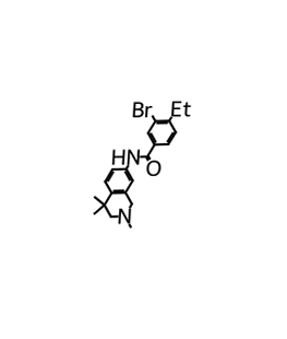 CCc1ccc(C(=O)Nc2ccc3c(c2)CN(C)CC3(C)C)cc1Br